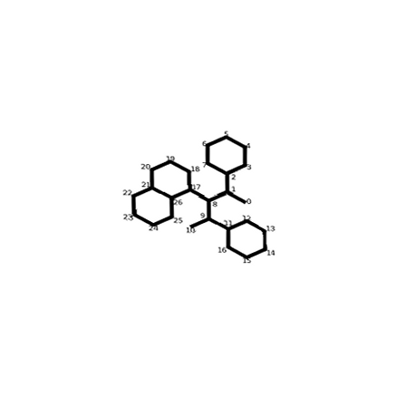 CC(C1CCCCC1)C(C(C)C1CCCCC1)C1CCCC2CCCCC21